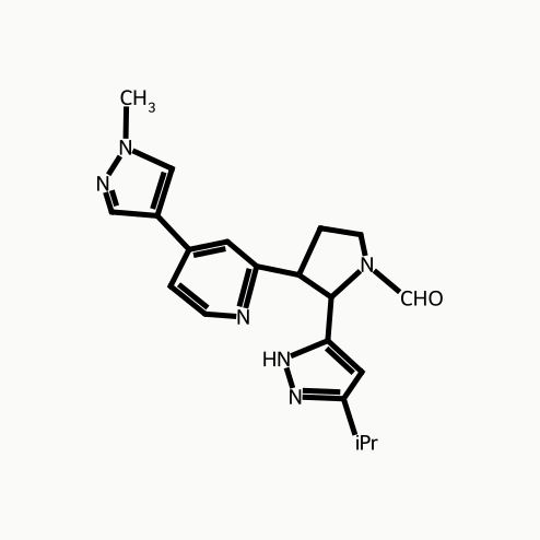 CC(C)c1cc(C2C(c3cc(-c4cnn(C)c4)ccn3)CCN2C=O)[nH]n1